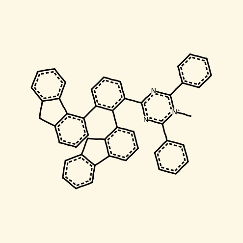 C[n+]1c(-c2ccccc2)nc(-c2cccc(-c3cccc4c3-c3ccccc3C4)c2-c2cccc3c2Cc2ccccc2-3)nc1-c1ccccc1